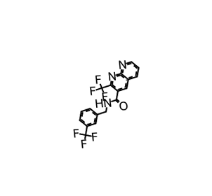 O=C(NCc1cccc(C(F)(F)F)c1)c1cc2cccnc2nc1C(F)(F)F